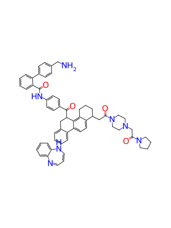 C1=CNc2ccccc2N=C1.NCc1ccc(-c2ccccc2C(=O)Nc2ccc(C(=O)C3Cc4ccccc4-c4ccc5c(c43)CCCC5CC(=O)N3CCN(CC(=O)N4CCCC4)CC3)cc2)cc1